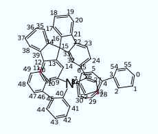 c1ccc(-c2ccc(N(c3ccc4c(c3)C3(c5ccccc5-c5ccc(-c6ccccc6)cc53)c3ccccc3-4)c3ccccc3-c3ccccc3)cc2)cc1